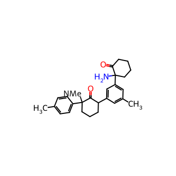 CNC1(c2ccc(C)cc2)CCCC(c2cc(C)cc(C3(N)CCCCC3=O)c2)C1=O